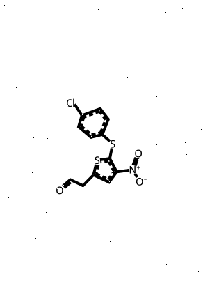 O=CCc1cc([N+](=O)[O-])c(Sc2ccc(Cl)cc2)s1